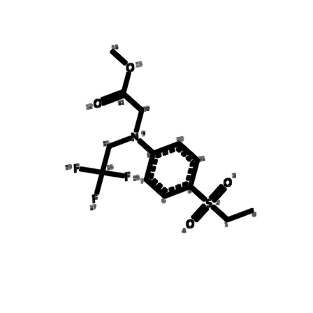 CCS(=O)(=O)c1ccc(N(CC(=O)OC)CC(F)(F)F)cc1